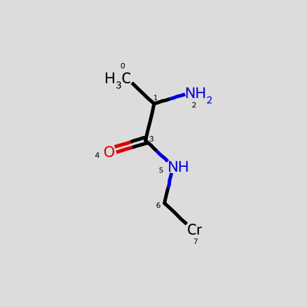 CC(N)C(=O)N[CH2][Cr]